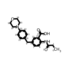 CCC(=O)Nc1ccc(Cc2ccc(N3CCOCC3)cc2)cc1C(=O)O